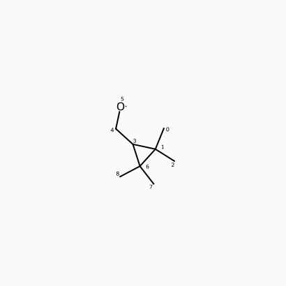 CC1(C)C(C[O])C1(C)C